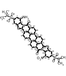 CN(C)S(=O)(=O)c1cc(N)c2c(c1)nc1c3ccc4c5ccc6c(=O)n7c(nc8cc(S(=O)(=O)N(C)C)cc([N+](=O)[O-])c87)c7ccc(c8ccc(c(=O)n12)c3c48)c5c67